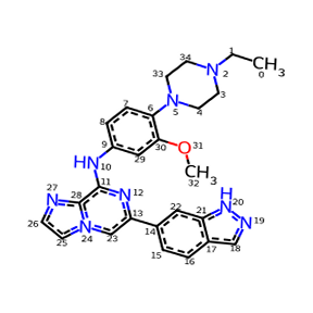 CCN1CCN(c2ccc(Nc3nc(-c4ccc5cn[nH]c5c4)cn4ccnc34)cc2OC)CC1